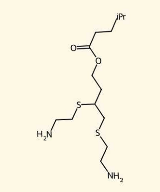 CC(C)CCC(=O)OCCC(CSCCN)SCCN